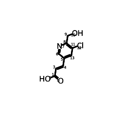 O=C(O)C=Cc1cnc(CO)c(Cl)c1